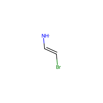 [NH]C=CBr